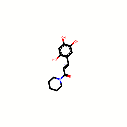 O=C(/C=C/c1cc(O)c(O)cc1O)N1CCCCC1